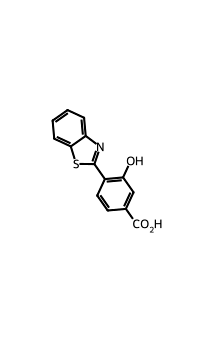 O=C(O)c1ccc(-c2nc3ccccc3s2)c(O)c1